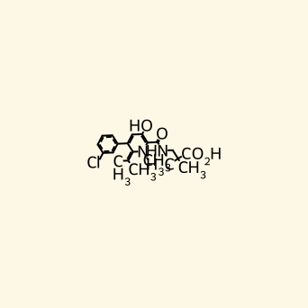 CC(C)=C1C(c2cccc(Cl)c2)=CC(O)=C(C(=O)NCC(C)(C)C(=O)O)N1C